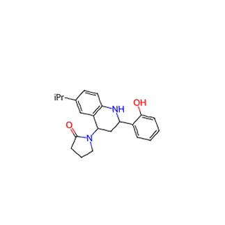 CC(C)c1ccc2c(c1)C(N1CCCC1=O)CC(c1ccccc1O)N2